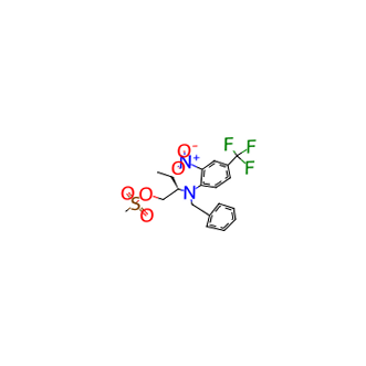 CC[C@H](COS(C)(=O)=O)N(Cc1ccccc1)c1ccc(C(F)(F)F)cc1[N+](=O)[O-]